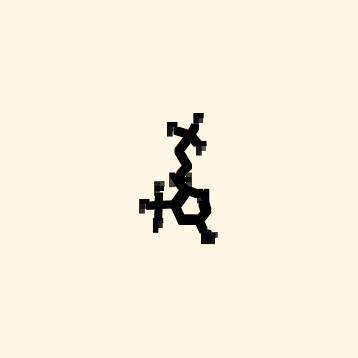 FC(F)(F)CCNc1ncc(Br)cc1C(F)(F)F